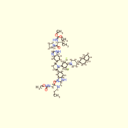 CCCN(Cc1nc2cc([C@H]3CC[C@H](c4ccc5[nH]c([C@@H]6CCCN6C(=O)C(NC(=O)OC)C(C)C)nc5c4)N3c3cc(F)c(N4CCC(c5ccc6ccccc6c5)CC4)c(F)c3)ccc2[nH]1)C(=O)CNC(=O)OC